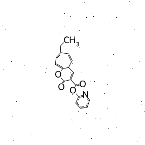 CCC1=CC=C2OC(=O)C(C(=O)Oc3ccccn3)=CC2C=C1